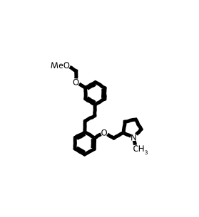 COCOc1cccc(CCc2ccccc2OCC2CCCN2C)c1